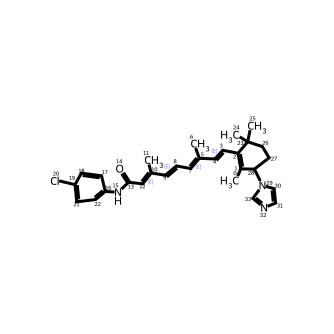 CC1=C(/C=C/C(C)=C/C=C/C(C)=C/C(=O)Nc2ccc(Cl)cc2)C(C)(C)CCC1n1ccnc1